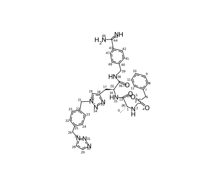 C[C@@H](NS(=O)(=O)Cc1ccccc1)C(=O)N[C@@H](Cc1cn(Cc2ccc(Cn3ccnn3)cc2)nn1)C(=O)NCc1ccc(C(=N)N)cc1